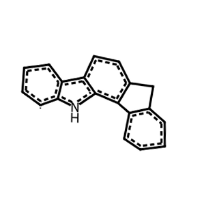 [c]1cccc2c1[nH]c1c3c(ccc12)Cc1ccccc1-3